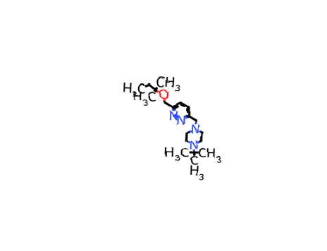 CCC(C)(C)OCc1ccc(CN2CCN(C(C)(C)C)CC2)nn1